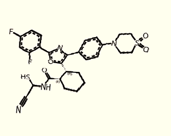 N#CC(S)NC(=O)[C@@H]1CCCC[C@H]1c1oc(-c2ccc(F)cc2F)nc1-c1ccc(N2CCS(=O)(=O)CC2)cc1